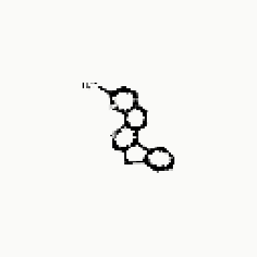 Cc1ccc2ccc3c4c(cnc3c2n1)Cc1ccccc1-4